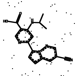 CC(C)Nc1cc(-c2ccc3cc(C#N)cnn23)ncc1C(=O)O